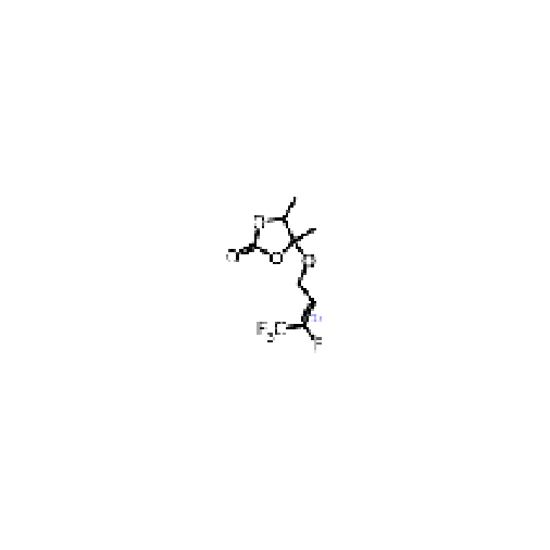 CC1OC(=O)OC1(C)OC/C=C(/F)C(F)(F)F